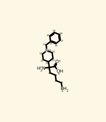 BCCCCC(N)(C(=O)O)C1CCN(Cc2ccccc2)CC1